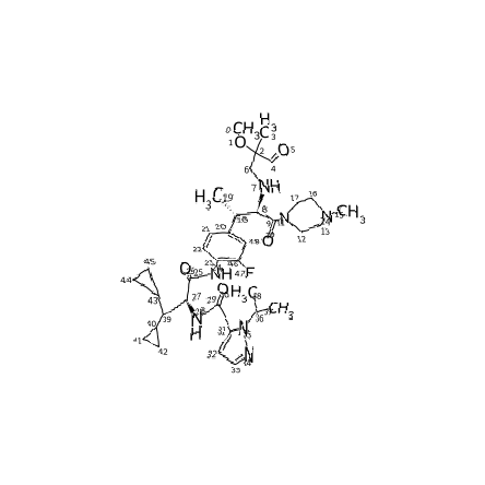 COC(C)(C=O)CN[C@@H](C(=O)N1CCN(C)CC1)[C@@H](C)c1ccc(NC(=O)[C@@H](NC(=O)c2ccnn2C(C)C)C(C2CC2)C2CC2)c(F)c1